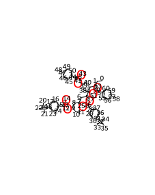 CCCCC(CCC(CC(CC)OC(=O)c1ccc(C(C)(C)C)cc1)OC(=O)c1ccc(C(C)(C)C)cc1)(CC(C)OC(=O)c1ccc(C)cc1)OC(=O)c1ccc(C)cc1